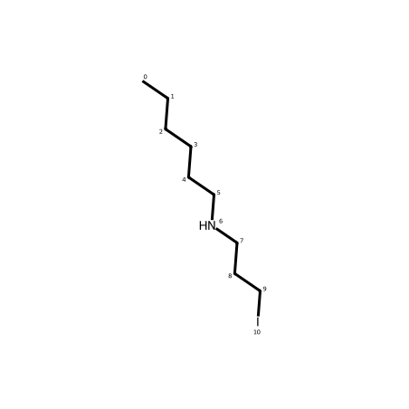 CCCCCCNCCCI